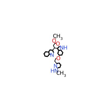 CCOC(=O)CC(c1cnc2ccccc2c1)c1c[nH]c2ccc(OCCc3cccc(NC)n3)cc12